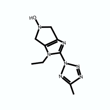 CCn1c(-n2nnc(C)n2)nc2c1CN(O)C2